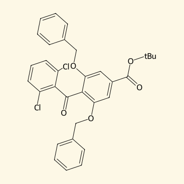 CC(C)(C)OC(=O)c1cc(OCc2ccccc2)c(C(=O)c2c(Cl)cccc2Cl)c(OCc2ccccc2)c1